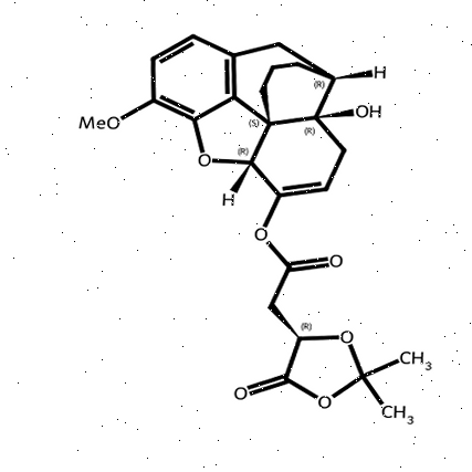 COc1ccc2c3c1O[C@H]1C(OC(=O)C[C@H]4OC(C)(C)OC4=O)=CC[C@@]4(O)[C@H](CCC[C@]314)C2